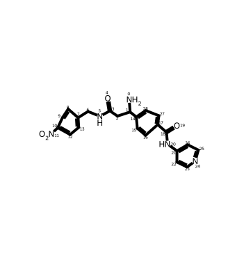 NC(CC(=O)NCc1ccc([N+](=O)[O-])cc1)c1ccc(C(=O)Nc2ccncc2)cc1